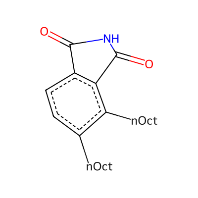 CCCCCCCCc1ccc2c(c1CCCCCCCC)C(=O)NC2=O